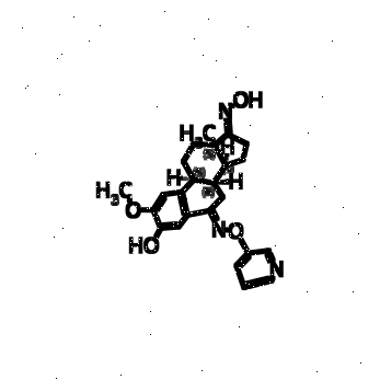 COc1cc2c(cc1O)C(=NOc1cccnc1)C[C@@H]1[C@@H]2CC[C@]2(C)C(=NO)CC[C@@H]12